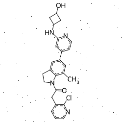 Cc1cc(-c2ccnc(NC3CC(O)C3)c2)cc2c1N(C(=O)Cc1cccnc1Cl)CC2